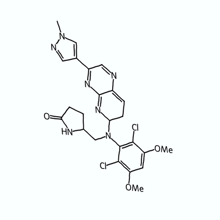 COc1cc(OC)c(Cl)c(N(CC2CCC(=O)N2)C2CC=c3ncc(-c4cnn(C)c4)nc3=N2)c1Cl